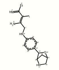 CCC(=N)/C(C)=C(\N)CNc1ccc(C2OC3CNC2C3)cc1